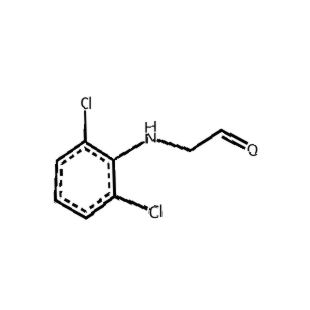 O=CCNc1c(Cl)cccc1Cl